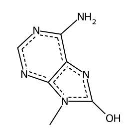 Cn1c(O)nc2c(N)ncnc21